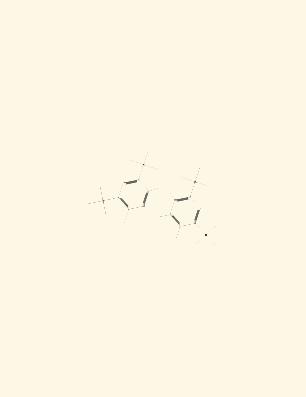 Cc1c(C(C)(C)C)cc(C(C)(C)C)c(C)c1Sc1c(C)c(C(C)(C)C)cc(C(C)(C)C)c1C